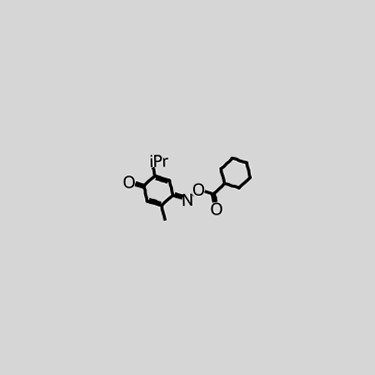 CC1=CC(=O)C(C(C)C)=C/C1=N\OC(=O)C1CCCCC1